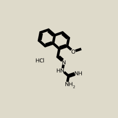 COc1ccc2ccccc2c1C=NNC(=N)N.Cl